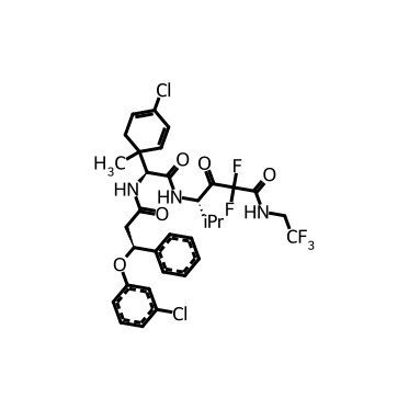 CC(C)[C@H](NC(=O)[C@@H](NC(=O)C[C@H](Oc1cccc(Cl)c1)c1ccccc1)C1(C)C=CC(Cl)=CC1)C(=O)C(F)(F)C(=O)NCC(F)(F)F